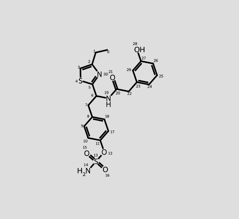 CCc1csc(C(Cc2ccc(OS(N)(=O)=O)cc2)NC(=O)Cc2cccc(O)c2)n1